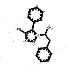 CC(Cc1ccccc1)[n+]1noc([NH-])c1-c1ccccc1